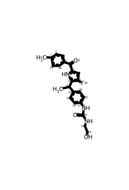 Cc1ccc(C(=O)c2cc(F)c(C(C)c3ccc(NC(=O)NCCO)cc3)[nH]2)cc1